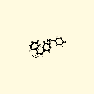 N#CC(=Cc1ccc(NC2CCCCC2)cc1)c1ccccc1